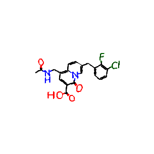 CC(=O)NCc1cc(C(=O)O)c(=O)n2cc(Cc3cccc(Cl)c3F)ccc12